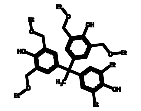 CCOCc1cc(C(C)(c2cc(CC)c(O)c(CC)c2)c2cc(COCC)c(O)c(COCC)c2)cc(COCC)c1O